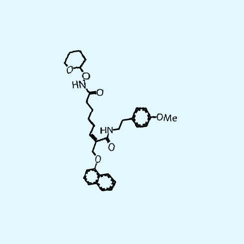 COc1ccc(CCNC(=O)C(=CCCCCC(=O)NOC2CCCCO2)COc2cccc3ccccc23)cc1